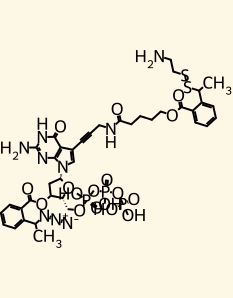 CC(N=[N+]=[N-])c1ccccc1C(=O)OC1C[C@H](n2cc(C#CCNC(=O)CCCCOC(=O)c3ccccc3C(C)SSCCN)c3c(=O)[nH]c(N)nc32)O[C@@H]1COP(=O)(O)OP(=O)(O)OP(=O)(O)O